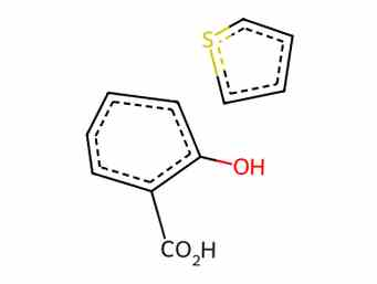 O=C(O)c1ccccc1O.c1ccsc1